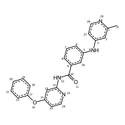 Cc1cc(Nc2cccc(C(=O)Nc3cc(Oc4ccccc4)ccn3)c2)ccn1